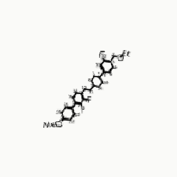 CCOCc1ccc(C2CCC(CCc3ccc(C4=CCC(OC)CC4)c(F)c3F)CC2)cc1F